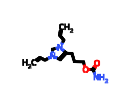 C=CCN1C=C(CCCOC(N)=O)N(CC=C)C1